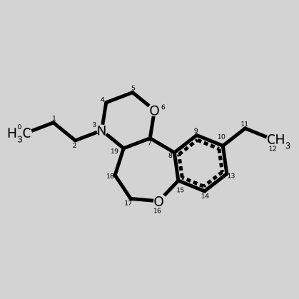 CCCN1CCOC2c3cc(CC)ccc3OCCC21